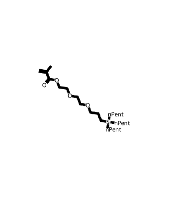 C=C(C)C(=O)OCCOCCOCCC[Si](CCCCC)(CCCCC)CCCCC